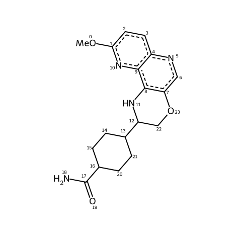 COc1ccc2ncc3c(c2n1)NC(C1CCC(C(N)=O)CC1)CO3